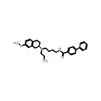 CCCN(CCCCNC(=O)c1ccc(-c2ccccc2)cc1)[C@@H]1CCc2ccc(OC)cc2C1